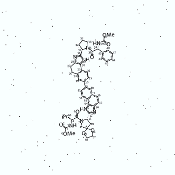 COC(=O)N[C@H](C(=O)N1CC2(C[C@H]1c1nc3ccc4cc(-c5ccc6c(c5)CCc5nc([C@H]7CCCN7C(=O)[C@H](NC(=O)OC)c7ccccc7)[nH]c5-6)ccc4c3[nH]1)OCCO2)C(C)C